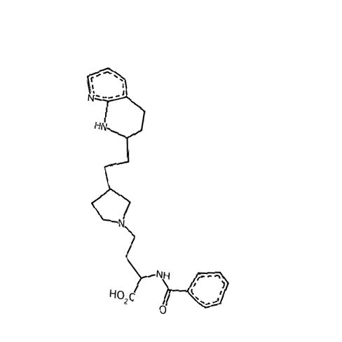 O=C(NC(CCN1CCC(CCC2CCc3cccnc3N2)C1)C(=O)O)c1ccccc1